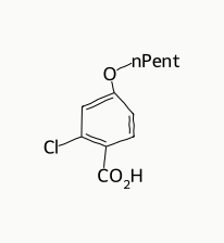 CCCCCOc1ccc(C(=O)O)c(Cl)c1